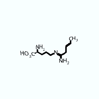 C/C=C/CC(N)=NCCC[C@H](N)C(=O)O